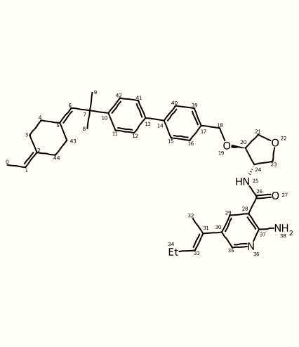 CC=C1CCC(=CC(C)(C)c2ccc(-c3ccc(CO[C@H]4COC[C@@H]4NC(=O)c4cc(/C(C)=C/CC)cnc4N)cc3)cc2)CC1